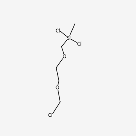 C[Si](Cl)(Cl)COCCOCCl